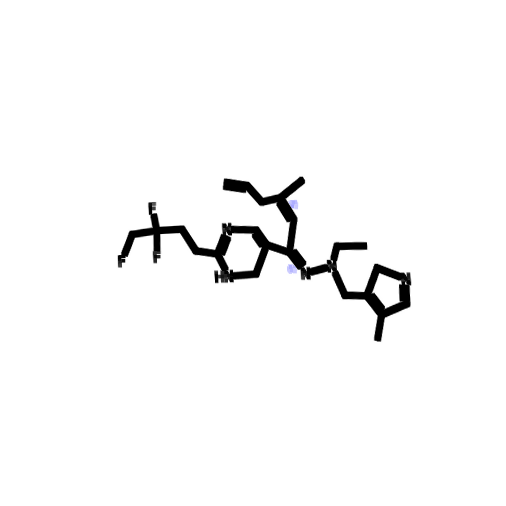 C=CC/C(C)=C\C(=N/N(CC)CC1=C(C)C=NC1)C1=CN=C(CCC(F)(F)CF)NC1